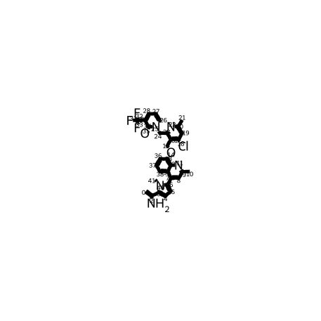 C=C(N)c1ccc(-c2cc(C)nc3c(OCc4c(Cl)cc(C)nc4Cn4cccc(C(F)(F)F)c4=O)cccc23)n1C